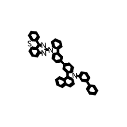 c1ccc(-c2cccc(-n3c4ccc(-c5ccc6c(c5)c5ccccc5n6-c5nc6c7c(cccc7n5)Sc5ccccc5-6)cc4c4c5ccccc5ccc43)c2)cc1